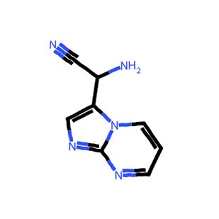 N#CC(N)c1cnc2ncccn12